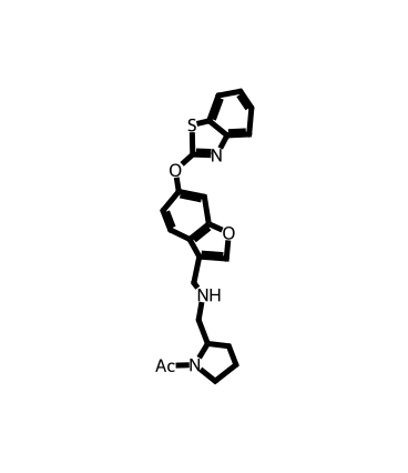 CC(=O)N1CCCC1CNCc1coc2cc(Oc3nc4ccccc4s3)ccc12